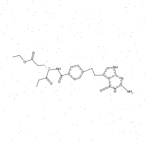 CCOC(=O)CC[C@H](NC(=O)c1ccc(CCc2c[nH]c3nc(N)[nH]c(=O)c23)cc1)C(=O)CC